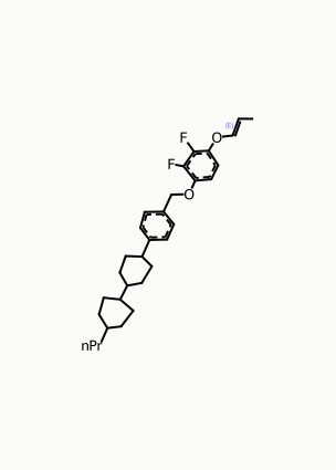 C/C=C/Oc1ccc(OCc2ccc(C3CCC(C4CCC(CCC)CC4)CC3)cc2)c(F)c1F